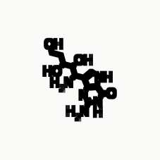 Nc1nc2c(C(N)C(O)C(O)CCO)c[nH]c2c(=O)[nH]1